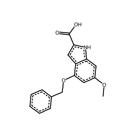 COc1cc(OCc2ccccc2)c2cc(C(=O)O)[nH]c2c1